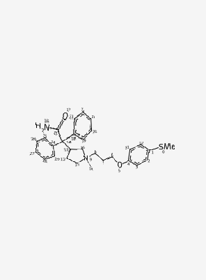 CSc1ccc(OCCC[N+]2(C)CCC(C(C(N)=O)(c3ccccc3)c3ccccc3)C2)cc1